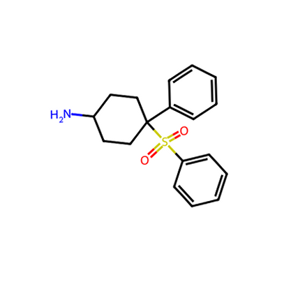 NC1CCC(c2ccccc2)(S(=O)(=O)c2ccccc2)CC1